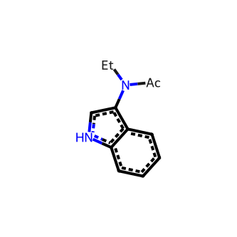 CCN(C(C)=O)c1c[nH]c2ccccc12